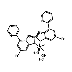 CC(C)C1=Cc2c(-c3ccccn3)cc(C(C)C)cc2[CH]1[Zr]([CH3])([CH3])(=[SiH2])[CH]1C(C(C)C)=Cc2c(-c3ccccn3)cc(C(C)C)cc21.Cl.Cl